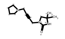 CC1(C)CN(CC#CCN2CCCC2)C(=O)N1